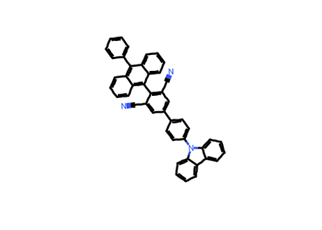 N#Cc1cc(-c2ccc(-n3c4ccccc4c4ccccc43)cc2)cc(C#N)c1-c1c2ccccc2c(-c2ccccc2)c2ccccc12